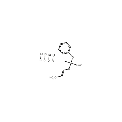 [CH2]C(CCCCCCCCC)(OC=CC(=O)O)Oc1ccccc1.[CH2]C[O].[CH2]C[O].[CH2]C[O].[CH2]C[O]